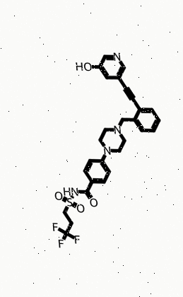 O=C(NS(=O)(=O)CCC(F)(F)F)c1ccc(N2CCN(Cc3ccccc3C#Cc3cncc(O)c3)CC2)cc1